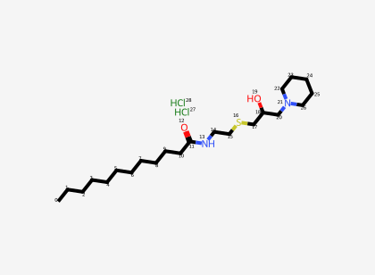 CCCCCCCCCCCC(=O)NCCSCC(O)CN1CCCCC1.Cl.Cl